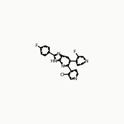 Fc1ccc(-c2nc3cc(-c4ccncc4F)c(-c4ccncc4Cl)nc3[nH]2)cc1